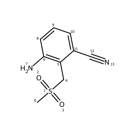 CS(=O)(=O)Cc1c(N)cccc1C#N